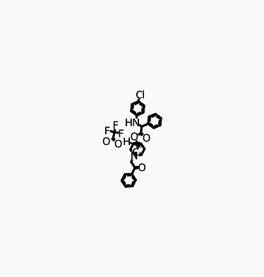 O=C(C[N+]12CCC(CC1)[C@@H](OC(=O)C(Nc1ccc(Cl)cc1)c1ccccc1)C2)c1ccccc1.O=C([O-])C(F)(F)F